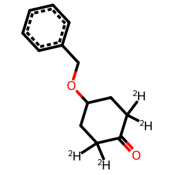 [2H]C1([2H])CC(OCc2ccccc2)CC([2H])([2H])C1=O